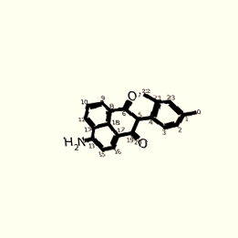 Cc1ccc(C2C(=O)c3cccc4c(N)ccc(c34)C2=O)c(C)c1